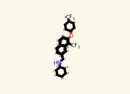 FC(F)(F)c1c(OC2CCC(C(F)(F)F)CC2)ccc2ccc(CNC3CCCCC3)cc12